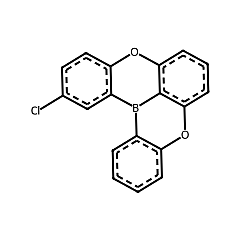 Clc1ccc2c(c1)B1c3ccccc3Oc3cccc(c31)O2